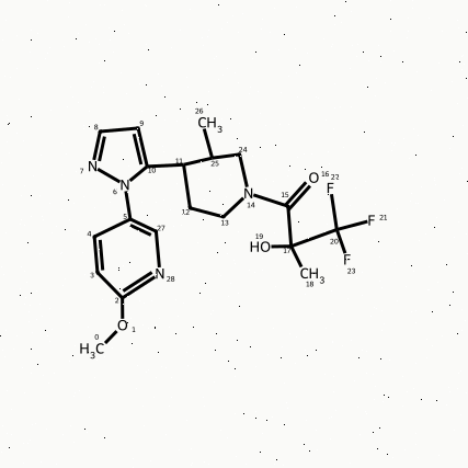 COc1ccc(-n2nccc2C2CCN(C(=O)C(C)(O)C(F)(F)F)CC2C)cn1